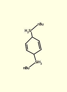 CCCC[SiH2]C1C=CC([SiH2]CCCC)C=C1